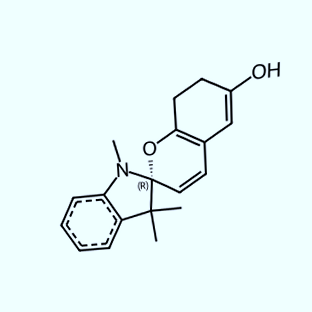 CN1c2ccccc2C(C)(C)[C@]12C=CC1=C(CCC(O)=C1)O2